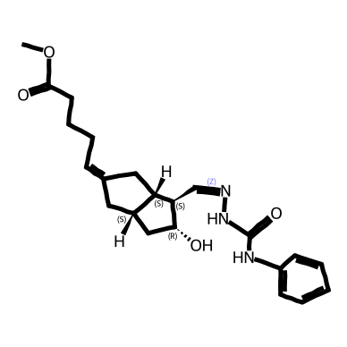 COC(=O)CCCC=C1C[C@H]2C[C@@H](O)[C@H](/C=N\NC(=O)Nc3ccccc3)[C@H]2C1